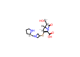 C[C@@H](O)[C@H]1C(=O)N2C(C(=O)O)=C(SC3CN(C[C@H]4CCCN4)C3)[C@H](C)[C@H]12